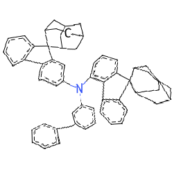 c1ccc(-c2cccc(N(c3ccc4c(c3)C3(c5ccccc5-4)C4CCC5CC(C4)CC3C5)c3cccc4c3-c3ccccc3C43C4CCC5CC(C4)CC3C5)c2)cc1